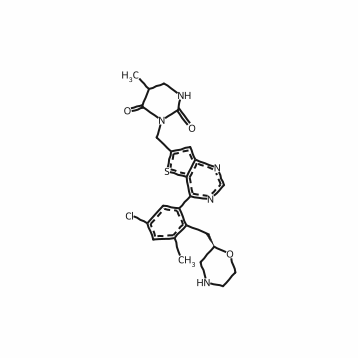 Cc1cc(Cl)cc(-c2ncnc3cc(CN4C(=O)NCC(C)C4=O)sc23)c1C[C@@H]1CNCCO1